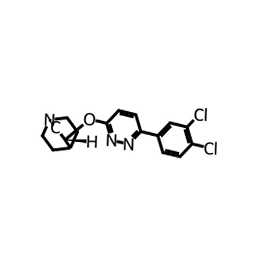 Clc1ccc(-c2ccc(O[C@H]3CN4CCC3CC4)nn2)cc1Cl